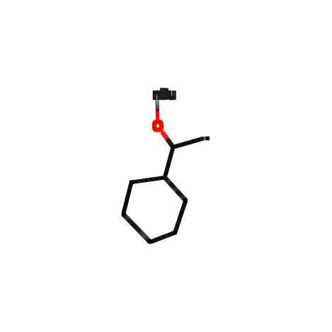 [CH2]C(OCCCC)C1CCCCC1